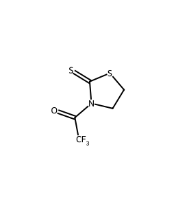 O=C(N1CCSC1=S)C(F)(F)F